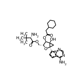 CC(C)(C)[C@H](N)C(=O)OC[C@H]1O[C@]2(c3ccc4c(N)ncnn34)C[C@@]2(O)[C@@H]1OC(=O)CC1CCCCC1